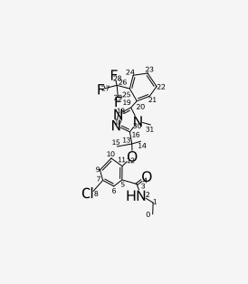 CCNC(=O)c1cc(Cl)ccc1OC(C)(C)c1nnc(-c2ccccc2C(F)(F)F)n1C